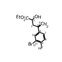 C=C(CC(O)C(=O)OCC)c1ccc(F)c(Br)c1